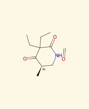 C=O.CCC1(CC)C(=O)NC[C@@H](C)C1=O